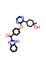 CC1(O)CCC(c2nccnc2Oc2ccc(C(=O)c3nc4ccccc4[nH]3)cc2)CC1